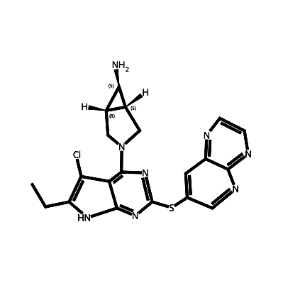 CCc1[nH]c2nc(Sc3cnc4nccnc4c3)nc(N3C[C@@H]4[C@@H](N)[C@@H]4C3)c2c1Cl